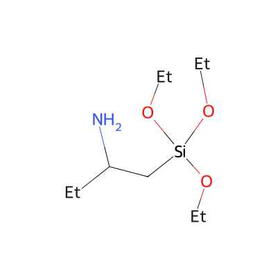 CCO[Si](CC(N)CC)(OCC)OCC